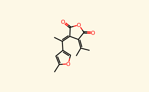 CC(C)=C1C(=O)OC(=O)/C1=C(\C)c1coc(C)c1